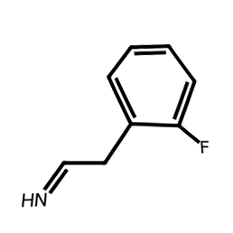 N=CCc1ccccc1F